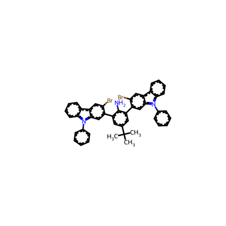 CC(C)(C)c1cc(-c2cc3c(cc2Br)c2ccccc2n3-c2ccccc2)c(N)c(-c2cc3c(cc2Br)c2ccccc2n3-c2ccccc2)c1